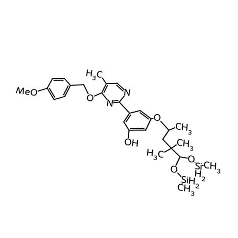 COc1ccc(COc2nc(-c3cc(O)cc(OC(C)CC(C)(C)C(O[SiH2]C)O[SiH2]C)c3)ncc2C)cc1